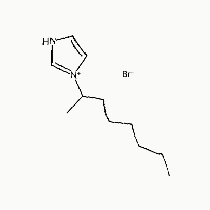 CCCCCCC(C)[n+]1cc[nH]c1.[Br-]